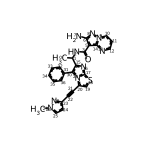 CC(NC(=O)c1c(N)nn2cccnc12)c1nc2scc(C#Cc3ccn(C)n3)n2c1-c1ccccc1